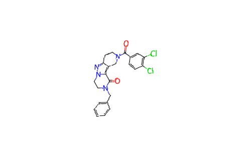 O=C(c1ccc(Cl)c(Cl)c1)N1CCc2nn3c(c2C1)C(=O)N(Cc1ccccc1)CC3